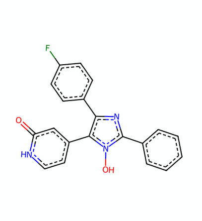 O=c1cc(-c2c(-c3ccc(F)cc3)nc(-c3ccccc3)n2O)cc[nH]1